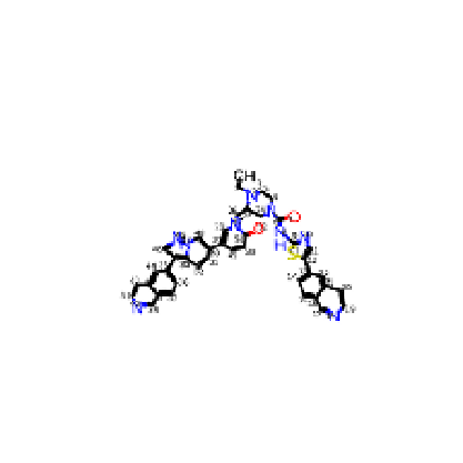 CCN1CCN(C(=O)Nc2ncc(-c3ccc4cnccc4c3)s2)CC1Cn1cc(-c2ccc3c(-c4ccc5cnccc5c4)cnn3c2)ccc1=O